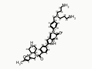 Cc1cc(CN(C(=O)c2ccc(-c3cc4cn(-c5ccc(CN(CCCN)CCCN)cc5)c(=O)nc4[nH]3)cc2)C2CCNCC2)no1